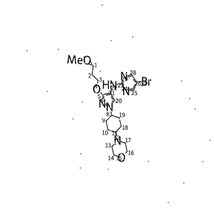 COCCCOc1nn(C2CCC(N3CCOCC3)CC2)cc1Nc1ncc(Br)cn1